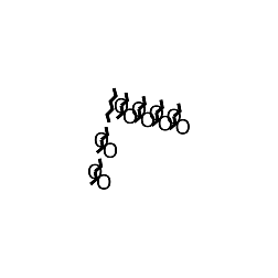 CCCCCC.CCOC(C)=O.CCOC(C)=O.CCOC(C)=O.CCOC(C)=O.CCOC(C)=O.CCOC(C)=O